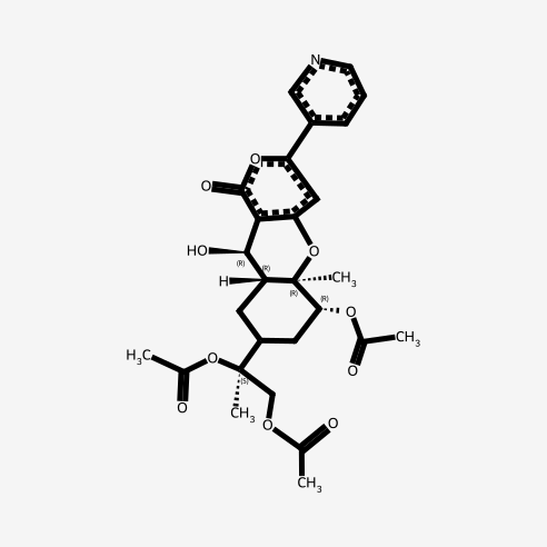 CC(=O)OC[C@@](C)(OC(C)=O)C1C[C@@H]2[C@@H](O)c3c(cc(-c4cccnc4)oc3=O)O[C@@]2(C)[C@H](OC(C)=O)C1